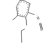 CCOc1c(F)cccc1N=C=S